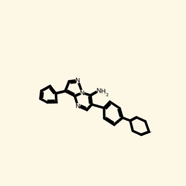 Nc1c(-c2ccc(C3CC[CH]CC3)cc2)cnc2c(-c3ccccc3)cnn12